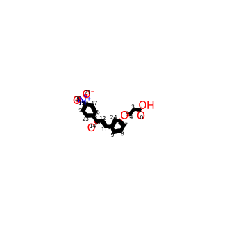 O=C(O)CCOc1cccc(C=CC(=O)c2ccc([N+](=O)[O-])cc2)c1